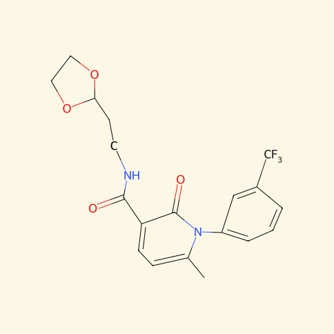 Cc1ccc(C(=O)NCCC2OCCO2)c(=O)n1-c1cccc(C(F)(F)F)c1